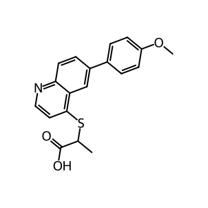 COc1ccc(-c2ccc3nccc(SC(C)C(=O)O)c3c2)cc1